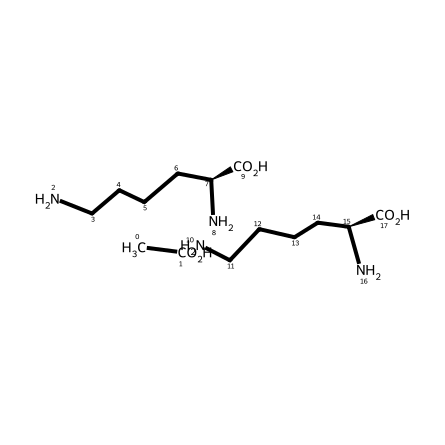 CC(=O)O.NCCCC[C@H](N)C(=O)O.NCCCC[C@H](N)C(=O)O